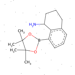 CC1(C)OB(c2cccc3c2C(N)CCC3)OC1(C)C